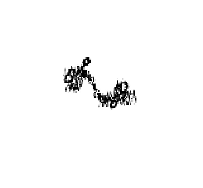 CN[C@@H](C)C(=O)N[C@H]1CCCC[C@H]2CC[C@@H](C(=O)N[C@H](c3ccccc3)c3cn(CCOCCCCOCCn4cc([C@@H](NC(=O)[C@@H]5CC[C@@H]6CCCC[C@H](NC(=O)[C@H](C)NC)C(=O)N65)c5ccccc5)nn4)nn3)N2C1=O